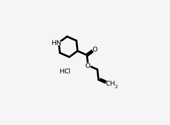 C=CCOC(=O)C1CCNCC1.Cl